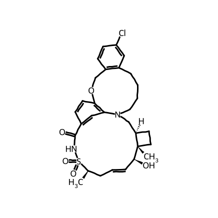 C[C@@H]1C/C=C/[C@H](O)[C@@]2(C)CC[C@@H]2CN2CCCCc3cc(Cl)ccc3COc3ccc(cc32)C(=O)NS1(=O)=O